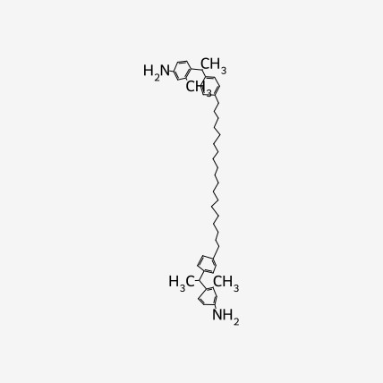 Cc1cc(N)ccc1C(C)c1ccc(CCCCCCCCCCCCCCCCCCCc2ccc(C(C)c3ccc(N)cc3C)cc2)cc1